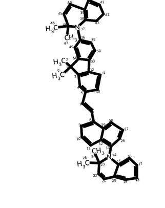 CC1(C)c2cc(/C=C/c3cccc4c(N5c6ccccc6C=CC5(C)C)cccc34)ccc2-c2ccc(N3C4=C(C=CCC4)C=CC3(C)C)cc21